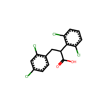 O=C(O)C(Cc1ccc(Cl)cc1Cl)c1c(Cl)cccc1Cl